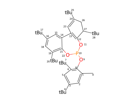 Cc1cc(C(C)(C)C)cc(C(C)(C)C)c1Op1oc2c(c3cc(C(C)(C)C)cc(C(C)(C)C)c3o1)C=C(C(C)(C)C)CC2C(C)(C)C